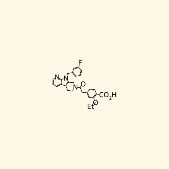 CCOc1cc(CC(=O)N2CCc3c(n(Cc4cccc(F)c4)c4ncccc34)C2)ccc1C(=O)O